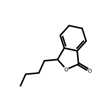 CCCCC1OC(=O)C2=CCCC=C21